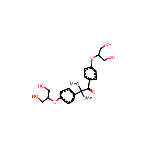 COC(OC)(C(=O)c1ccc(OC(CO)CO)cc1)c1ccc(OC(CO)CO)cc1